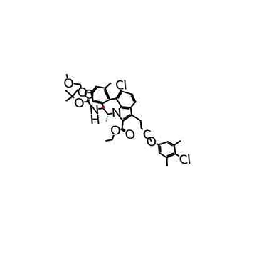 CCOC(=O)c1c(CCCOc2cc(C)c(Cl)c(C)c2)c2ccc(Cl)c(-c3c(C)cc(OCOC)cc3C)c2n1[C@H](C)CNC(=O)OC(C)(C)C